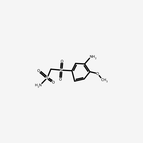 COc1ccc(S(=O)(=O)CS(N)(=O)=O)cc1N